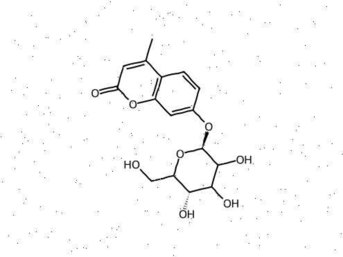 Cc1cc(=O)oc2cc(O[C@@H]3OC(CO)[C@@H](O)C(O)C3O)ccc12